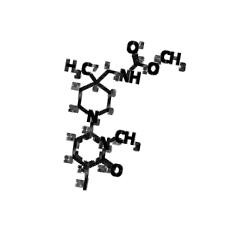 COC(=O)NCC1(C)CCN(c2ccc(I)c(=O)n2C)CC1